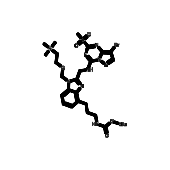 CC(C)(C)OC(=O)NCCCc1cccc2c1nc(CNc1nc(S(C)(=O)=O)nc3c(Br)cnn13)n2COCC[Si](C)(C)C